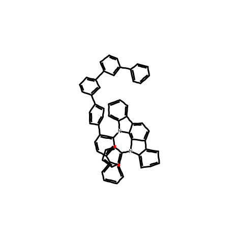 c1ccc(-c2cccc(-c3cccc(-c4ccc(-c5ccc(-c6ccccc6)cc5-n5c6ccccc6c6ccc7c8ccccc8n(-c8ccccc8)c7c65)cc4)c3)c2)cc1